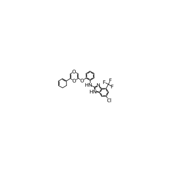 FC(F)(F)c1cc(Cl)cc2[nH]c(Nc3ccccc3OC3=COC=C(C4=CC=CCC4)O3)nc12